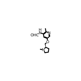 Cc1ncc(OC[C@H]2CCCN2C)cc1NC=O